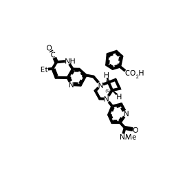 CCC1=Cc2ncc(CN3CCN(c4ccc(C(=O)NC)nc4)[C@H]4CC[C@H]43)cc2NC1=C=O.O=C(O)c1ccccc1